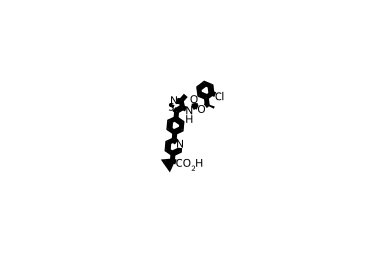 Cc1nsc(-c2ccc(-c3ccc(C4(C(=O)O)CC4)cn3)cc2)c1NC(=O)O[C@H](C)c1ccccc1Cl